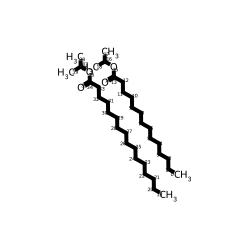 CCCCCCCCCCCCCC(=O)OC(C)C.CCCCCCCCCCCCCCCC(=O)OC(C)C